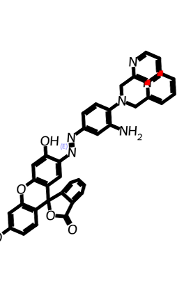 Nc1cc(/N=N/c2cc3c(cc2O)Oc2cc(O)ccc2C32OC(=O)c3ccccc32)ccc1N(Cc1ccccn1)Cc1ccccn1